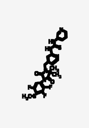 CSc1c(F)cc(N2C(=O)N(Cc3ccnc(NC(=S)Nc4cccnc4)c3)C(C)(C)C2=O)c(F)c1F